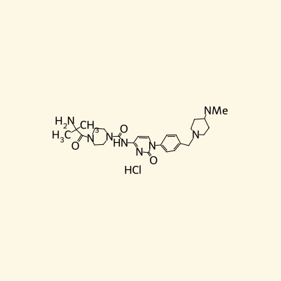 CNC1CCN(Cc2ccc(-n3ccc(NC(=O)N4CCN(C(=O)C(C)(C)N)CC4)nc3=O)cc2)CC1.Cl